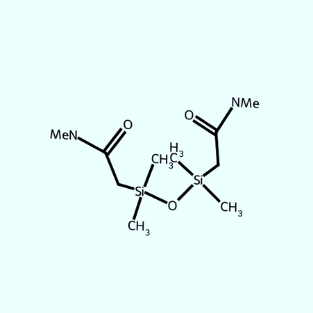 CNC(=O)C[Si](C)(C)O[Si](C)(C)CC(=O)NC